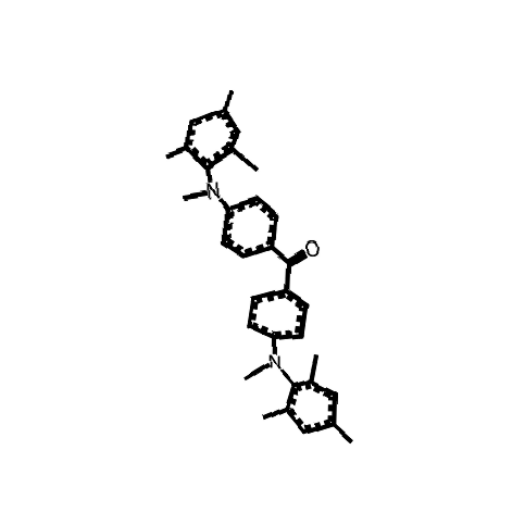 Cc1cc(C)c(N(C)c2ccc(C(=O)c3ccc(N(C)c4c(C)cc(C)cc4C)cc3)cc2)c(C)c1